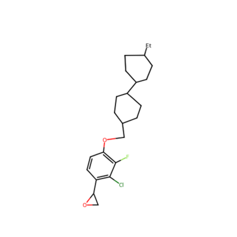 CCC1CCC(C2CCC(COc3ccc(C4CO4)c(Cl)c3F)CC2)CC1